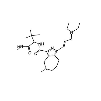 CCN(CC)CC=Cc1nc(C(=O)NC(C(=O)NC)C(C)(C)C)c2n1CCCN(C)C2